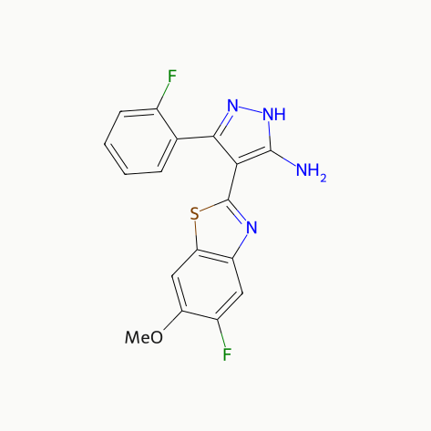 COc1cc2sc(-c3c(-c4ccccc4F)n[nH]c3N)nc2cc1F